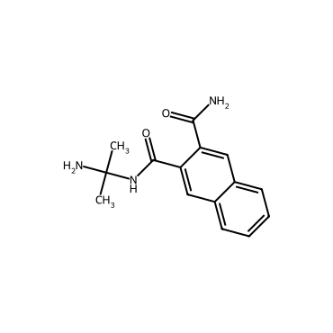 CC(C)(N)NC(=O)c1cc2ccccc2cc1C(N)=O